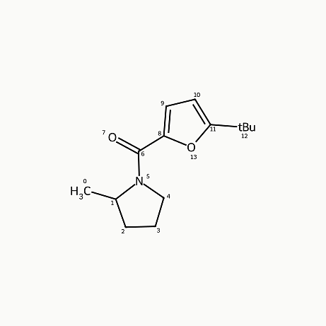 CC1CCCN1C(=O)c1ccc(C(C)(C)C)o1